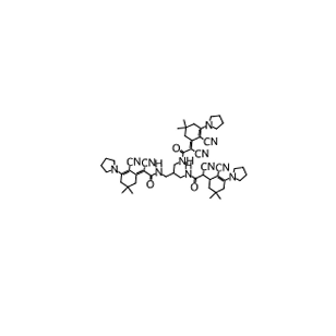 CC1(C)CC(N2CCCC2)=C(C#N)/C(=C(\C#N)C(=O)NCC(CNC(=O)/C(C#N)=C2\CC(C)(C)CC(N3CCCC3)=C2C#N)CNC(=O)C(C#N)C2CC(C)(C)CC(N3CCCC3)=C2C#N)C1